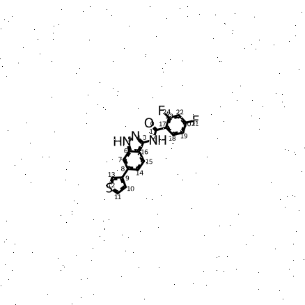 O=C(Nc1n[nH]c2cc(-c3ccsc3)ccc12)c1ccc(F)cc1F